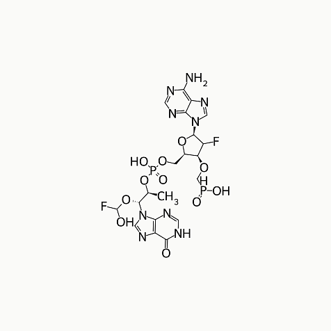 C[C@H](OP(=O)(O)OC[C@H]1O[C@@H](n2cnc3c(N)ncnc32)C(F)[C@H]1OC[PH](=O)O)[C@@H](OC(O)F)n1cnc2c(=O)[nH]cnc21